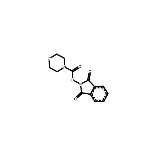 O=C(ON1C(=O)c2ccccc2C1=O)N1CCOCC1